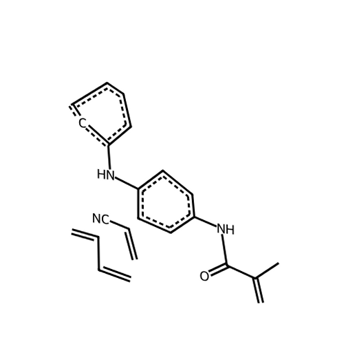 C=C(C)C(=O)Nc1ccc(Nc2ccccc2)cc1.C=CC#N.C=CC=C